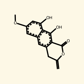 C=C1Cc2cc3cc(OC)cc(O)c3c(O)c2C(=O)O1